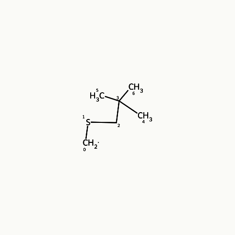 [CH2]SCC(C)(C)C